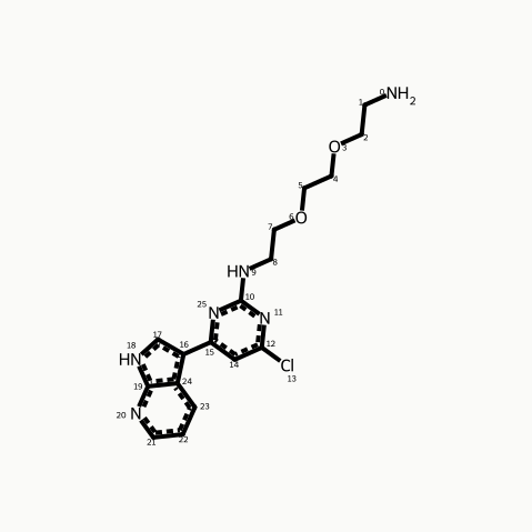 NCCOCCOCCNc1nc(Cl)cc(-c2c[nH]c3ncccc23)n1